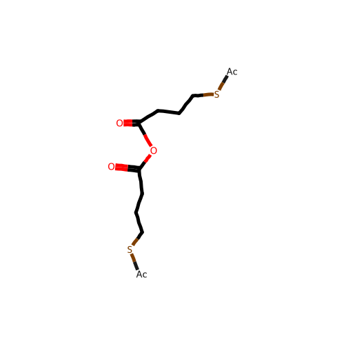 CC(=O)SCCCC(=O)OC(=O)CCCSC(C)=O